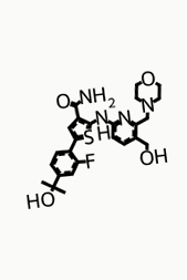 CC(C)(O)c1ccc(-c2cc(C(N)=O)c(Nc3ccc(CO)c(CN4CCOCC4)n3)s2)c(F)c1